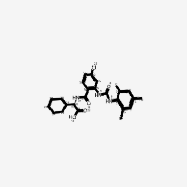 Cc1cc(C)c(NC(=O)Nc2cc(Cl)ccc2C(=O)N[C@H](C(=O)O)C2CCCCC2)c(C)c1